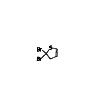 BrC1(Br)CC=CS1